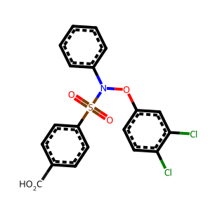 O=C(O)c1ccc(S(=O)(=O)N(Oc2ccc(Cl)c(Cl)c2)c2ccccc2)cc1